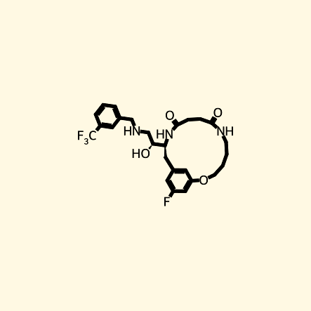 O=C1CCC(=O)N[C@H]([C@H](O)CNCc2cccc(C(F)(F)F)c2)Cc2cc(F)cc(c2)OCCCCN1